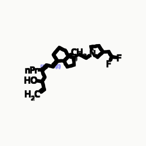 C=CC(O)C/C(=C\C=C1/CCCC2(C)C1CC[C@@H]2CCN1CCC(CC(F)F)C1)CCC